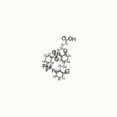 O=C(O)CCC1CN(S(=O)(=O)c2cccc(C(F)(F)F)c2)c2cc(CCc3c(F)cccc3Cl)ccc2O1